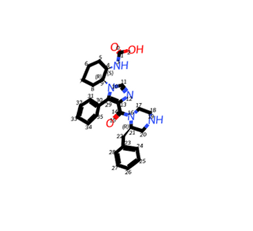 O=C(O)N[C@H]1CCCC[C@H]1n1cnc(C(=O)N2CCNC[C@H]2Cc2ccccc2)c1-c1ccccc1